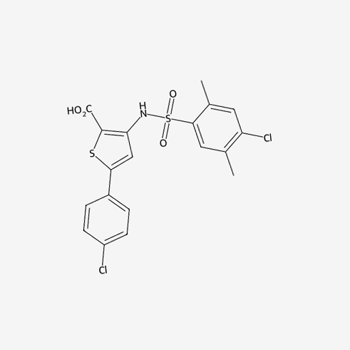 Cc1cc(S(=O)(=O)Nc2cc(-c3ccc(Cl)cc3)sc2C(=O)O)c(C)cc1Cl